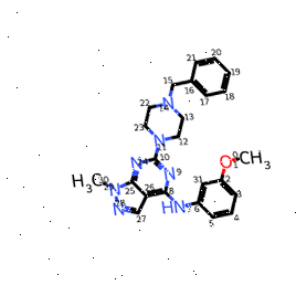 COc1cccc(Nc2nc(N3CCN(Cc4ccccc4)CC3)nc3c2cnn3C)c1